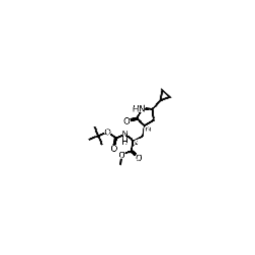 COC(=O)[C@H](C[C@@H]1CC(C2CC2)NC1=O)NC(=O)OC(C)(C)C